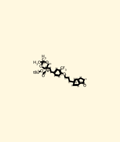 CC(C)(C)OC(=O)NC1(CCc2ccc(OCCCc3ccc4c(c3)CCC4=O)c(C(F)(F)F)c2)COC(C)(C)OC1